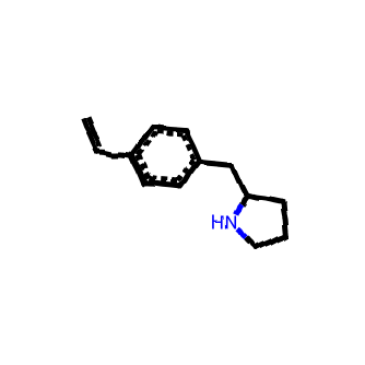 C=Cc1ccc(CC2CCCN2)cc1